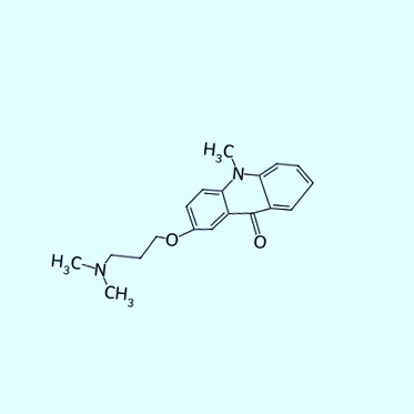 CN(C)CCCOc1ccc2c(c1)c(=O)c1ccccc1n2C